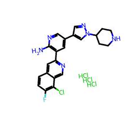 Cl.Cl.Cl.Nc1ncc(-c2cnn(C3CCNCC3)c2)cc1-c1cc2ccc(F)c(Cl)c2cn1